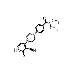 CN(C)C(=O)c1ccc(N2CCN(c3cc[nH]c(=S)c3C#N)CC2)cc1